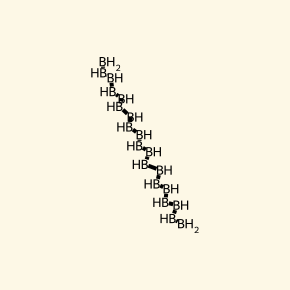 BBBBBBBBBBBBBBBBBBB